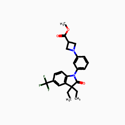 CCC1(CC)C(=O)N(c2cccc(N3CC(C(=O)OC)C3)c2)c2ccc(C(F)(F)F)cc21